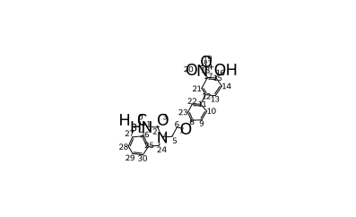 CNC(=O)N(CCOc1ccc(-c2ccc(O)c([N+](=O)[O-])c2)cc1)Cc1ccccc1